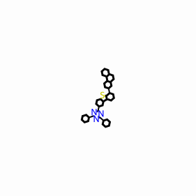 c1ccc(-c2nc(-c3ccccc3)nc(-c3ccc4sc5c(-c6ccc7c(ccc8ccccc87)c6)cccc5c4c3)n2)cc1